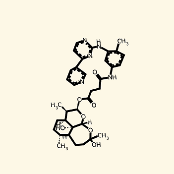 Cc1ccc(NC(=O)CCC(=O)O[C@H]2O[C@@H]3OC(C)(O)CC[C@H]4[C@H](C)CC[C@@H]([C@H]2C)[C@@]34O)cc1Nc1nccc(-c2cccnc2)n1